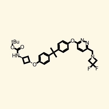 CC(C)(C)OC(=O)N[C@H]1C[C@H](Oc2ccc(C(C)(C)c3ccc(Oc4ccc(CN5CC(F)(F)C5)nn4)cc3)cc2)C1